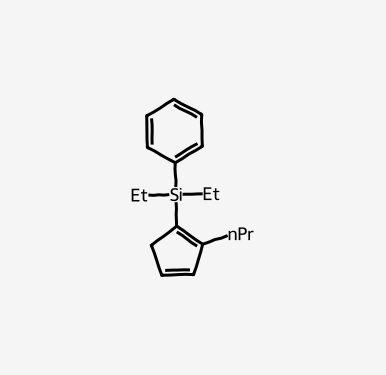 CCCC1=C([Si](CC)(CC)c2ccccc2)CC=C1